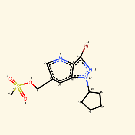 CS(=O)(=O)OCc1cnc2c(Br)nn(C3CCCC3)c2c1